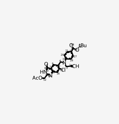 C#CCN(Cc1cc2c(=O)[nH]c(COC(C)=O)nc2cc1Cl)c1ccc(C(=O)OC(C)(C)C)cc1